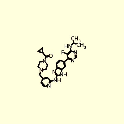 CC(C)Nc1ncnc(-c2ccc3nc(Nc4cc(CN5CCN(C(=O)C6CC6)CC5)ccn4)[nH]c3c2)c1F